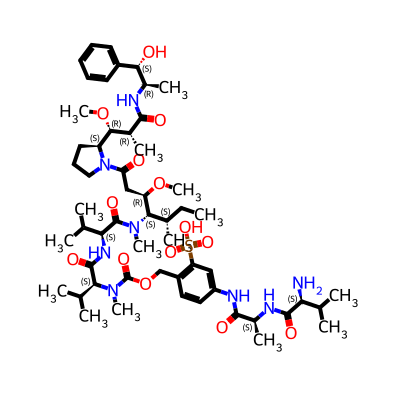 CC[C@H](C)[C@@H]([C@@H](CC(=O)N1CCC[C@H]1[C@H](OC)[C@@H](C)C(=O)N[C@H](C)[C@@H](O)c1ccccc1)OC)N(C)C(=O)[C@@H](NC(=O)[C@H](C(C)C)N(C)C(=O)OCc1ccc(NC(=O)[C@H](C)NC(=O)[C@@H](N)C(C)C)cc1S(=O)(=O)O)C(C)C